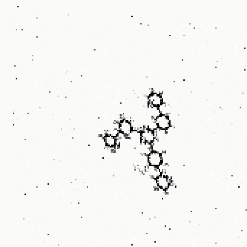 Cc1cc(-c2nc(-c3cccc(-c4ccccn4)n3)nc(-c3cccc(-c4ccccn4)n3)n2)ccc1-c1ccccn1